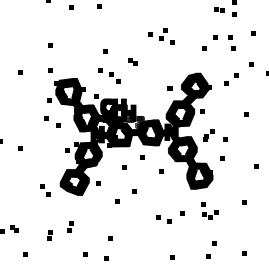 CC1(C)c2cc(-c3ccccc3)ccc2N(c2ccc(-c3ccccc3)cc2)c2ccc(-c3ccc(N(c4ccc(-c5ccccc5)cc4)c4ccc(-c5ccccc5)cc4)cc3)cc21